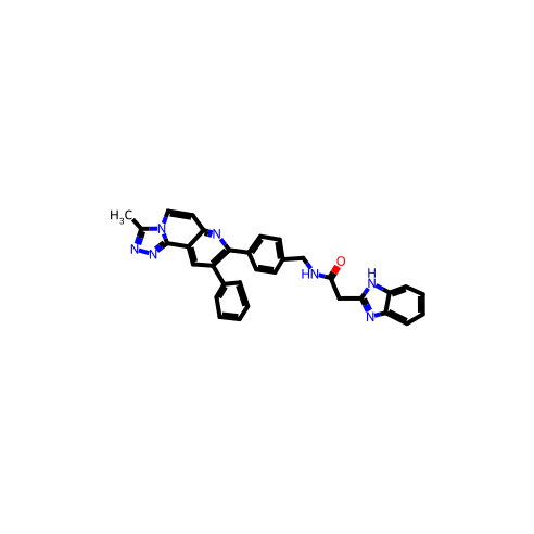 Cc1nnc2c3cc(-c4ccccc4)c(-c4ccc(CNC(=O)Cc5nc6ccccc6[nH]5)cc4)nc3ccn12